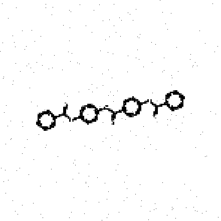 O=C(Oc1ccc(OC(=O)c2ccc(OC(=O)c3ccccc3)cc2)cc1)c1ccccc1